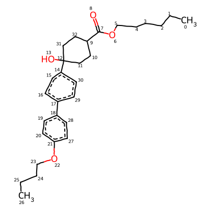 CCCCCCOC(=O)C1CCC(O)(c2ccc(-c3ccc(OCCCC)cc3)cc2)CC1